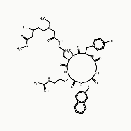 CCN(CCN(C)CC(=O)OC)CC(=O)NCCC[C@@H]1C(=O)N[C@@H](CCCNC(=N)N)C(=O)N[C@@H](Cc2ccc3ccccc3c2)C(=O)NCC(=O)N[C@H](Cc2ccc(O)cc2)C(=O)N1C